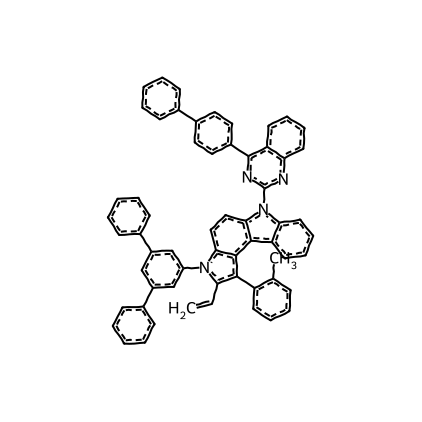 C=Cc1c(-c2ccccc2C)c2c3c4ccccc4n(-c4nc(-c5ccc(-c6ccccc6)cc5)c5ccccc5n4)c3ccc2n1-c1cc(-c2ccccc2)cc(-c2ccccc2)c1